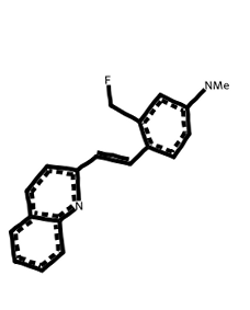 CNc1ccc(C=Cc2ccc3ccccc3n2)c(CF)c1